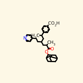 CC(CC(CCc1ccncc1)CC(C)c1ccc(C(=O)O)cc1)C(=O)OC1C2CC3CC(C2)CC1C3